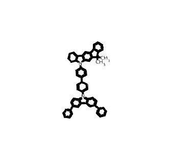 CC1(C)c2ccccc2-c2cc3c(cc21)N(c1ccc(C2C=CC(n4c5ccc(-c6ccccc6)cc5c5cc(-c6ccccc6)ccc54)=CC2)cc1)C1CC=CC=C31